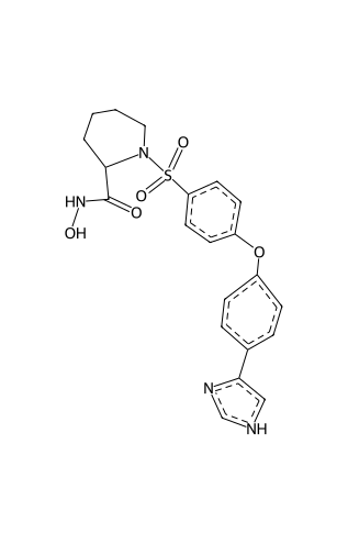 O=C(NO)C1CCCCN1S(=O)(=O)c1ccc(Oc2ccc(-c3c[nH]cn3)cc2)cc1